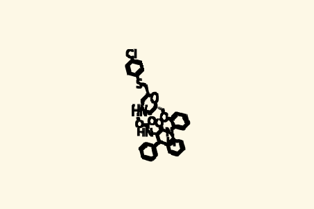 COC(=O)N[C@H](C(=O)Nc1ccccc1OC[C@@H]1CNC[C@@H](CSc2ccc(Cl)cc2)O1)C(c1ccccc1)c1ccccc1